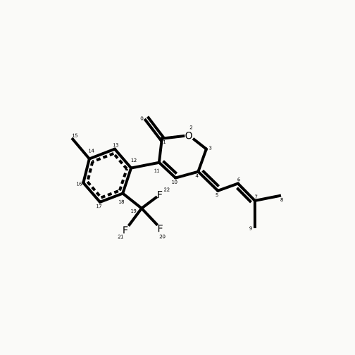 C=C1OC/C(=C\C=C(C)C)C=C1c1cc(C)ccc1C(F)(F)F